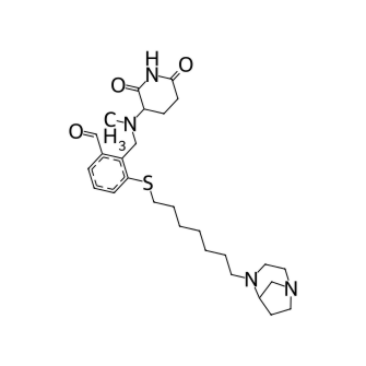 CN(Cc1c(C=O)cccc1SCCCCCCCN1CCN2CCC1C2)C1CCC(=O)NC1=O